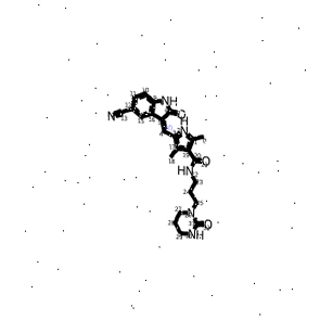 Cc1[nH]c(/C=C2\C(=O)Nc3ccc(C#N)cc32)c(C)c1C(=O)NCCCN1CCCNC1=O